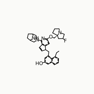 CCc1cccc2cc(O)cc(CC3C=Cc4c3cc(OC[C@@]35CCCN3CC(F)C5)nc4N3CC4CCC(C3)N4)c12